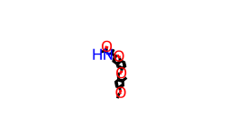 CCOc1ccc(COc2ccc3oc(C(C)NC(C)=O)cc3c2)c(C)c1